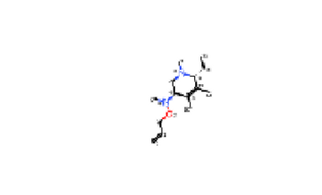 C=CCON(C)[C@H]1CN(C)[C@H](CC)C(C)=C1C